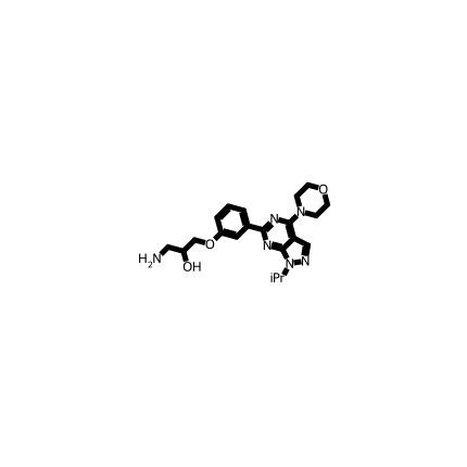 CC(C)n1ncc2c(N3CCOCC3)nc(-c3cccc(OCC(O)CN)c3)nc21